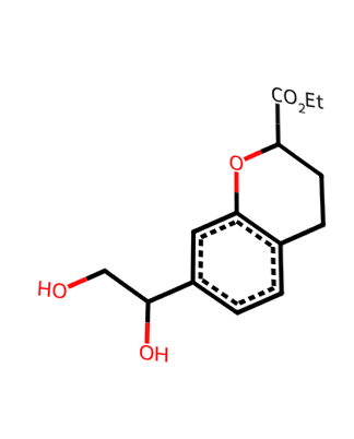 CCOC(=O)C1CCc2ccc(C(O)CO)cc2O1